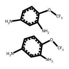 Nc1ccc(OC(F)(F)F)c(N)c1.Nc1ccc(OC(F)(F)F)c(N)c1